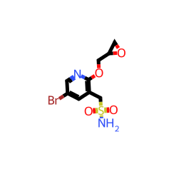 NS(=O)(=O)Cc1cc(Br)cnc1OCC1CO1